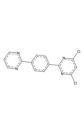 Clc1cc(Cl)nc(-c2ccc(-c3ncccn3)cc2)n1